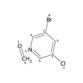 C=O.Clc1cncc(Br)c1